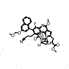 COCOc1cc(-c2c(CCC#N)cc3c(nc(OC)c4cc(CCC(=O)OC)n([C@H]5[C@@H]6C[C@H]5N(C(=O)O)C6)c43)c2F)c2ccccc2c1